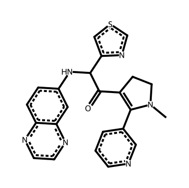 CN1CCC(C(=O)C(Nc2ccc3nccnc3c2)c2cscn2)=C1c1cccnc1